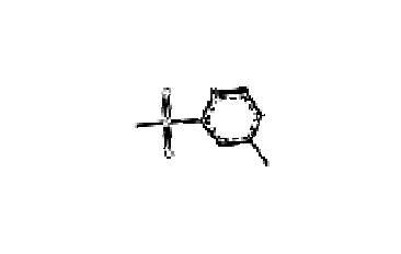 Cc1[c]c(S(C)(=O)=O)ncc1